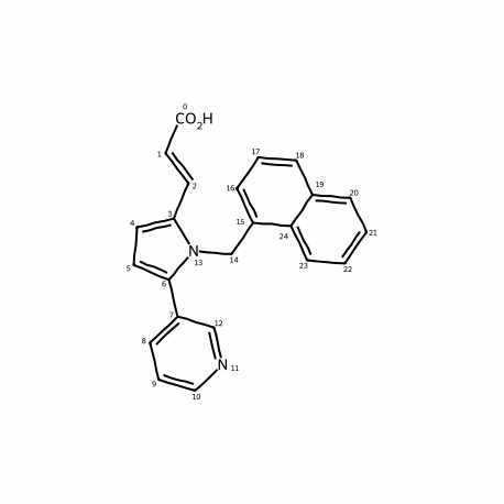 O=C(O)C=Cc1ccc(-c2cccnc2)n1Cc1cccc2ccccc12